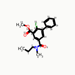 CCCN(C)C(=O)c1cc(C(=O)OC)c(F)c(-c2ccccc2)c1